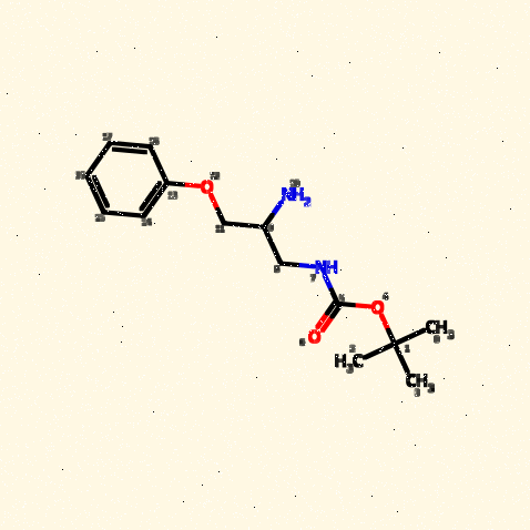 CC(C)(C)OC(=O)NCC(N)COc1ccccc1